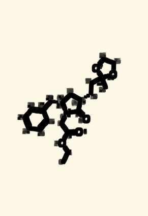 CCOC(=O)CN1C(=O)[C@@H](CCC2(C)OCCO2)C[C@H]1Cc1ccccc1